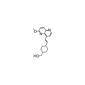 COc1ccc2nccc(/C=C/C3CCC(CO)CC3)c2n1